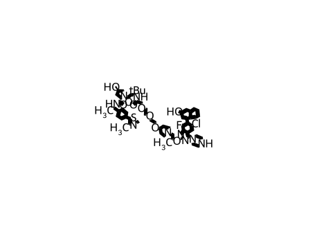 Cc1ncsc1-c1ccc(C(C)NC(=O)[C@@H]2C[C@@H](O)CN2C(=O)C(NC(=O)COCCOCCOC2CCN(CC(C)Oc3nc(N4CCNCC4)c4cc(Cl)c(-c5cc(O)cc6ccccc56)c(F)c4n3)CC2)C(C)(C)C)cc1